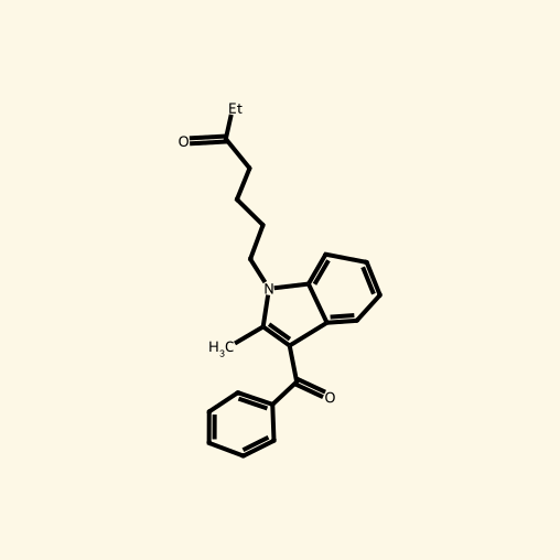 CCC(=O)CCCCn1c(C)c(C(=O)c2ccccc2)c2ccccc21